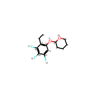 CCc1c(OC2CCCCO2)cc(F)c(F)c1F